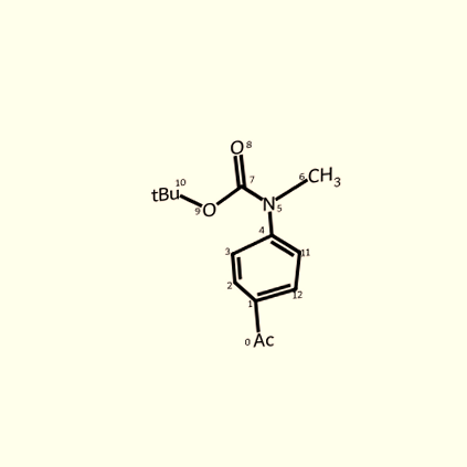 CC(=O)c1ccc(N(C)C(=O)OC(C)(C)C)cc1